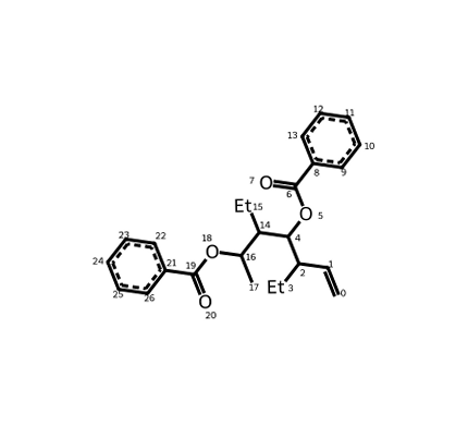 C=CC(CC)C(OC(=O)c1ccccc1)C(CC)C(C)OC(=O)c1ccccc1